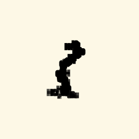 C[C@@H]1CN(c2ncc(-c3ccc4c(n3)N(Cc3cccnc3C#N)C(C)(C)C4=O)cn2)CCN1C(=O)COCCNC(=O)c1cccc(Oc2ccc(C(=O)NC(CCC(C)(C)C)C(=O)O)cn2)c1